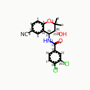 CC1(C)Oc2ccc(C#N)cc2[C@H](NC(=O)c2ccc(Cl)c(Cl)c2)[C@H]1O